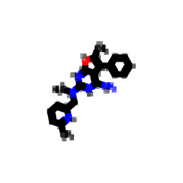 Cc1cccc(CN(C)c2nc(N)c3c(-c4ccccc4)c(C)oc3n2)n1